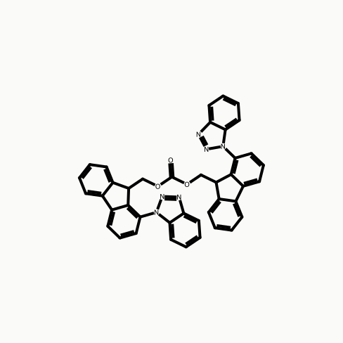 O=C(OCC1c2ccccc2-c2cccc(-n3nnc4ccccc43)c21)OCC1c2ccccc2-c2cccc(-n3nnc4ccccc43)c21